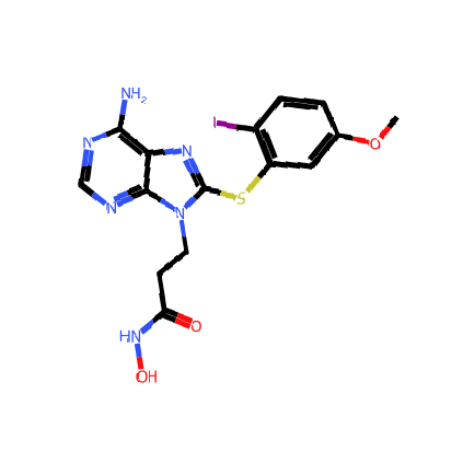 COc1ccc(I)c(Sc2nc3c(N)ncnc3n2CCC(=O)NO)c1